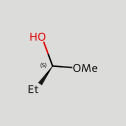 CC[C@@H](O)OC